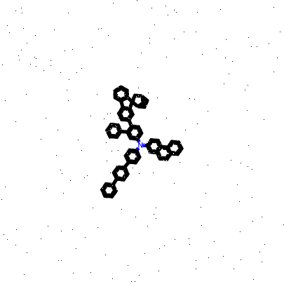 c1ccc(-c2ccc(-c3ccc(N(c4ccc(-c5ccc6c(c5)C5(CC7CCC5C7)c5ccccc5-6)c(-c5ccccc5)c4)c4ccc5c(ccc6ccccc65)c4)cc3)cc2)cc1